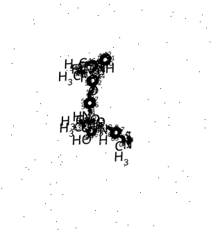 Cc1ncsc1-c1ccc(CNC(=O)[C@@H]2C[C@@H](O)CN2C(=O)[C@@H](NCc2ccc(COc3cc(F)c([C@@H]4c5[nH]c6ccccc6c5C[C@@H](C)N4CC(C)(C)F)c(F)c3)cc2)C(C)(C)C)cc1